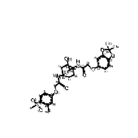 CS(=O)(=O)c1ccc(OCC(=O)NC23CCC(NC(=O)COc4ccc5c(c4)OC(F)(F)O5)(CC2)C(O)C3)cc1F